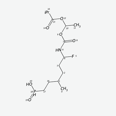 CC(CCC(F)NC(=O)OC(C)OC(=O)C(C)C)CC[PH](=O)O